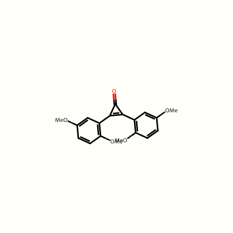 COc1ccc(OC)c(-c2c(-c3cc(OC)ccc3OC)c2=O)c1